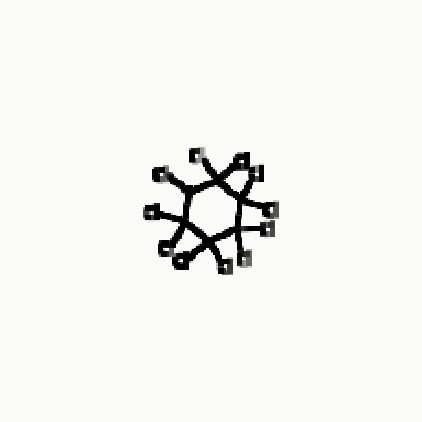 Cl[C]1C(Cl)(Cl)C(Cl)(Cl)C(Cl)(Cl)C(Cl)(Cl)C1(Cl)Cl